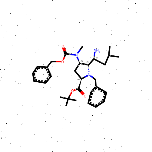 CC(C)C[C@H](N)[C@H]1[C@H](N(C)C(=O)OCc2ccccc2)C[C@H](C(=O)OC(C)(C)C)N1Cc1ccccc1